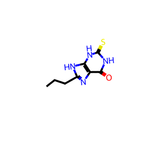 CCCc1nc2c(=O)[nH]c(=S)[nH]c2[nH]1